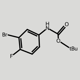 CC(C)(C)OC(=O)Nc1ccc(F)c(Br)c1